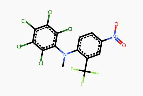 CN(c1ccc([N+](=O)[O-])cc1C(F)(F)F)c1c(Cl)c(Cl)c(Cl)c(Cl)c1Cl